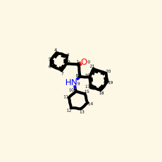 O=C(c1ccccc1)C(NC1CCCCC1)c1ccccc1